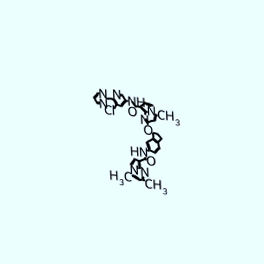 Cc1cc(C)n2ccc(C(=O)Nc3ccc4c(c3)C(Oc3cc(C)n5ccc(C(=O)Nc6cnc(-c7ncccn7)c(Cl)c6)c5n3)CC4)c2n1